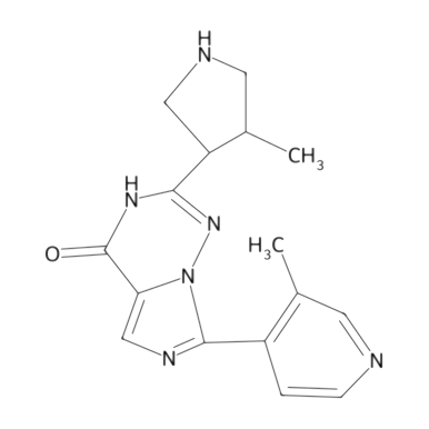 Cc1cnccc1-c1ncc2c(=O)[nH]c(C3CNCC3C)nn12